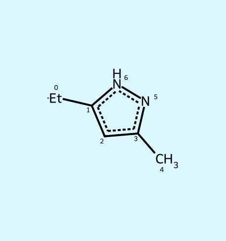 C[CH]c1cc(C)n[nH]1